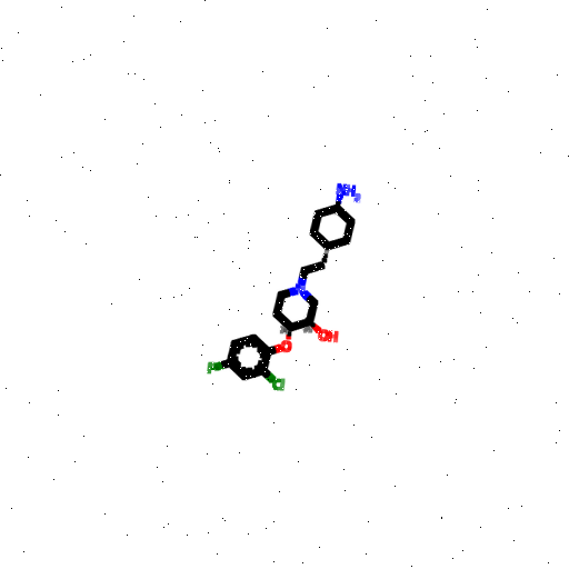 N[C@H]1CC[C@H](CCN2CC[C@@H](Oc3ccc(F)cc3Cl)[C@H](O)C2)CC1